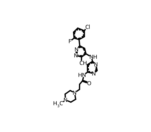 Cc1nnc(-c2cc(Cl)ccc2F)cc1Nc1cc(NC(=O)CCN2CCN(C)CC2)ncn1